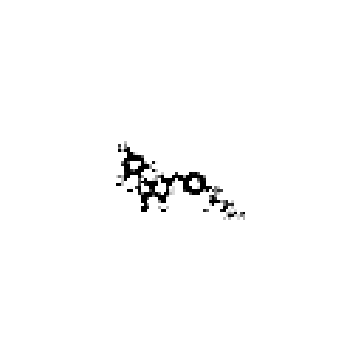 CONC(=O)Nc1ccc(Cc2nc3n(-c4c(Cl)cc(Cl)cc4Cl)[nH]c(C(C)C)c-3c(=O)n2)cc1